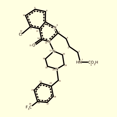 O=C(O)NCCCc1nc2cccc(Cl)c2c(=O)n1N1CCN(Cc2ccc(C(F)(F)F)cc2)CC1